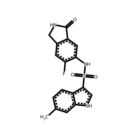 Cc1ccc2c(S(=O)(=O)Nc3cc4c(cc3F)CNC4=O)c[nH]c2c1